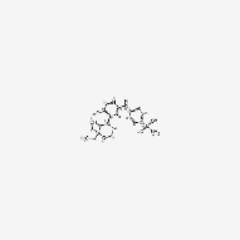 CCC1(CC)CN(c2nc(Nc3ccc(S(N)(=O)=O)cc3)ncc2F)CCO1